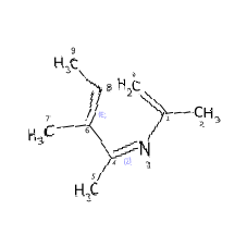 C=C(C)/N=C(C)\C(C)=C\C